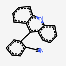 N#Cc1ccccc1-c1c2ccccc2nc2ccccc12